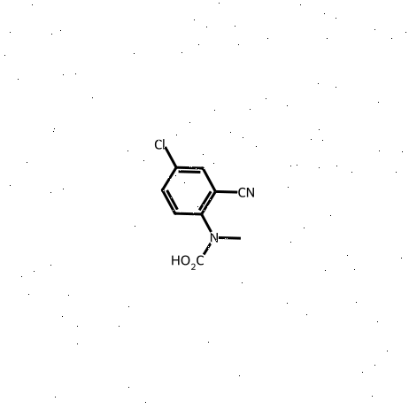 CN(C(=O)O)c1ccc(Cl)cc1C#N